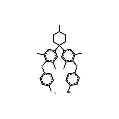 Cc1cc(C2(c3cc(C)c(Oc4ccc(N)cc4)c(C)c3)CCC(C)CC2)cc(C)c1Oc1ccc(N)cc1